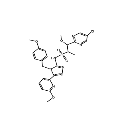 COc1ccc(Cn2c(NS(=O)(=O)C(C)C(OC)c3ncc(Cl)cn3)nnc2-c2cccc(OC)n2)cc1